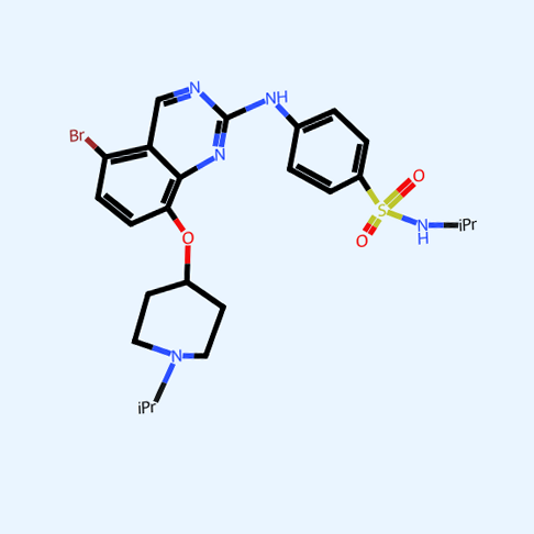 CC(C)NS(=O)(=O)c1ccc(Nc2ncc3c(Br)ccc(OC4CCN(C(C)C)CC4)c3n2)cc1